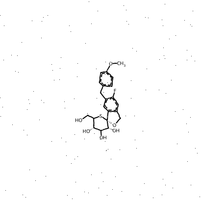 COc1ccc(Cc2cc3c(cc2F)CO[C@]32SC(CO)[C@@H](O)C(O)[C@H]2O)cc1